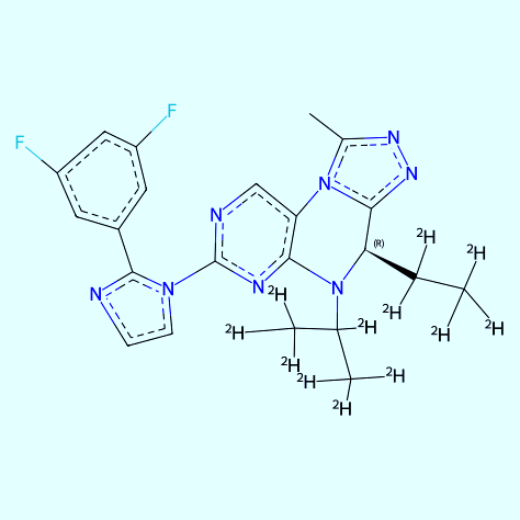 [2H]C([2H])([2H])C([2H])([2H])[C@@H]1c2nnc(C)n2-c2cnc(-n3ccnc3-c3cc(F)cc(F)c3)nc2N1C([2H])(C([2H])([2H])[2H])C([2H])([2H])[2H]